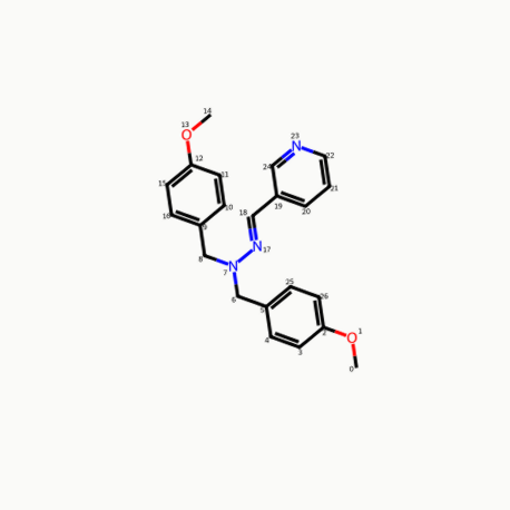 COc1ccc(CN(Cc2ccc(OC)cc2)/N=C/c2cccnc2)cc1